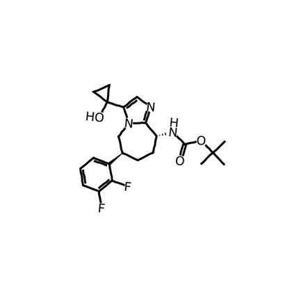 CC(C)(C)OC(=O)N[C@@H]1CC[C@@H](c2cccc(F)c2F)Cn2c(C3(O)CC3)cnc21